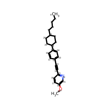 CCCCCC1CCC(c2ccc(C#Cc3ccc(OC)cn3)cc2)CC1